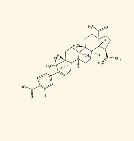 C=C(C)[C@@H]1CC[C@]2(C(C)=O)CC[C@]3(C)[C@H](CC[C@@H]4[C@@]5(C)CC=C(c6ccc(C(=O)O)c(F)c6)C(C)(C)[C@@H]5CC[C@]43C)[C@@H]12